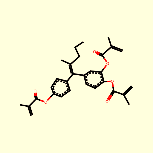 C=C(C)C(=O)Oc1ccc(/C(=C(\C)CCC)c2ccc(OC(=O)C(=C)C)c(OC(=O)C(=C)C)c2)cc1